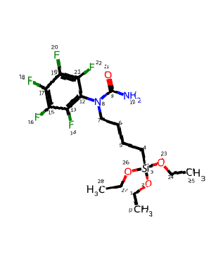 CCO[Si](CCCCN(C(N)=O)c1c(F)c(F)c(F)c(F)c1F)(OCC)OCC